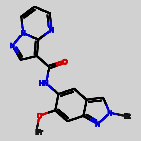 CCn1cc2cc(NC(=O)c3cnn4cccnc34)c(OC(C)C)cc2n1